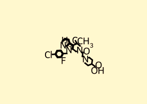 CC1(C)CN(C(=O)CN2CCC(C(=O)O)CC2)Cc2c1c1cccnc1n2Cc1ccc(Cl)cc1F